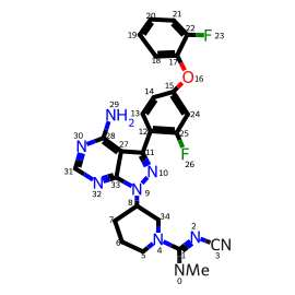 CNC(=NC#N)N1CCCC(n2nc(-c3ccc(Oc4ccccc4F)cc3F)c3c(N)ncnc32)C1